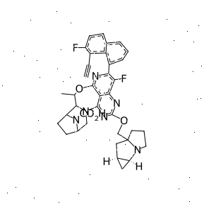 C#Cc1c(F)ccc2cccc(-c3nc4c5c(nc(OCC67CCCN6[C@H]6C[C@H]6C7)nc5c3F)N3CC5CCC(C3C(C)O4)N5C(=O)O)c12